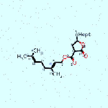 CCCCCCCC1CC(C(=O)OC/C=C(\C)CCC=C(C)C)C(=O)O1